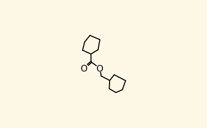 O=C(OCC1CCCCC1)C1CCCCC1